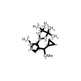 COC(c1cnn(C)c1B1OC(C)(C)C(C)(C)O1)C1CC1